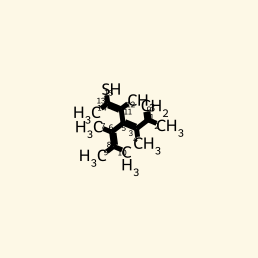 C=C(C)/C(C)=C(C(C)=C(C)C)\C(C)=C(/C)S